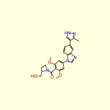 COc1cc(-n2cnc3cc(-c4c[nH]nc4C)ccc32)cc(OC)c1C(=O)N1CCC1CO